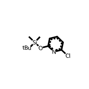 CC(C)(C)[Si](C)(C)Oc1cccc(Cl)n1